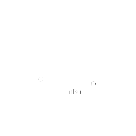 CCCC[O].O=C1CCCCC1